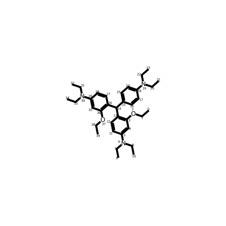 CCOc1cc(N(CC)CC)ccc1C(c1ccc(N(CC)CC)cc1)c1ccc(N(CC)CC)cc1OCC